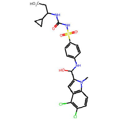 Cn1c(C(O)Nc2ccc(S(=O)(=O)NC(=O)NC(CC(=O)O)C3CC3)cc2)cc2c(Cl)c(Cl)ccc21